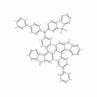 CC1(C)c2ccccc2-c2ccc(N(c3ccc(-c4ccccc4)cc3)c3ccc(-c4c(-c5ccc6oc7ccccc7c6c5-c5ccc(-c6ccccc6)cc5)ccc5oc6ccccc6c45)cc3)cc21